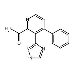 NC(=O)c1nccc(-c2ccccc2)c1-c1nc[nH]n1